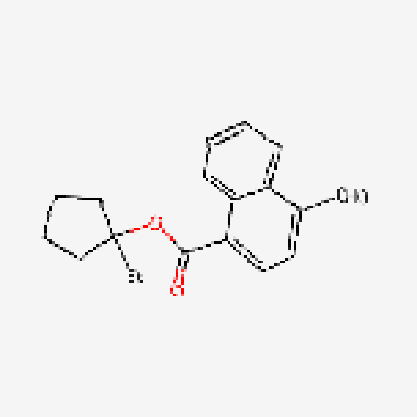 CCC1(OC(=O)c2ccc(C=O)c3ccccc23)CCCC1